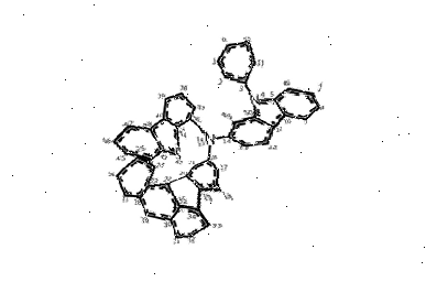 c1ccc(-n2c3ccccc3c3ccc(N(c4ccc5c(c4)-c4c6ccccc6cc6cccc-5c46)c4cccc5c4sc4ccccc45)cc32)cc1